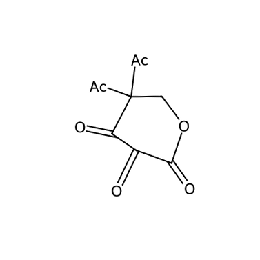 CC(=O)C1(C(C)=O)COC(=O)C(=O)C1=O